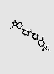 CC(C)n1cnc2c1CN(c1ccnc(Nc3ccc(N4CCN(S(C)(=O)=O)CC4=O)cn3)n1)CC2